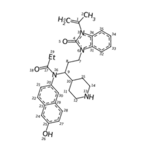 C=C(C)n1c(=O)n(CCC(C2CCNCC2)N(C(=O)CC)c2ccc3cc(O)ccc3c2)c2ccccc21